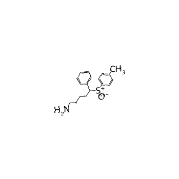 Cc1ccc([S+]([O-])C(CCCCN)c2ccccc2)cc1